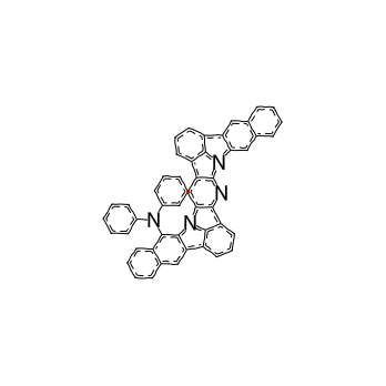 c1ccc(N(c2ccccc2)c2c3ccccc3cc3c4cccc5c6nc7c(cc6n(c23)c45)c2cccc3c4cc5ccccc5cc4n7c32)cc1